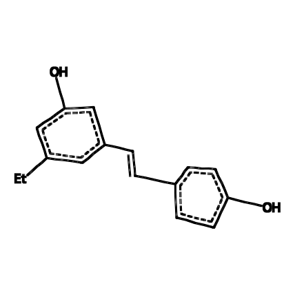 CCc1cc(O)cc(/C=C/c2ccc(O)cc2)c1